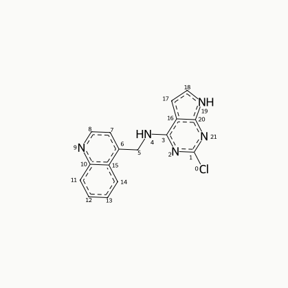 Clc1nc(NCc2ccnc3ccccc23)c2cc[nH]c2n1